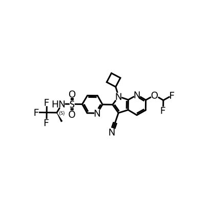 C[C@H](NS(=O)(=O)c1ccc(-c2c(C#N)c3ccc(OC(F)F)nc3n2C2CCC2)nc1)C(F)(F)F